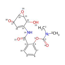 CN(C)C(=O)Oc1ccccc1C(=O)NC1=CC(=O)C2OC2C1O